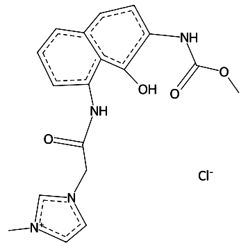 COC(=O)Nc1ccc2cccc(NC(=O)Cn3cc[n+](C)c3)c2c1O.[Cl-]